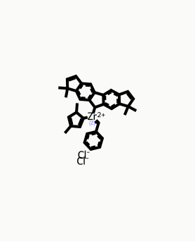 CC1=CC(C)[C](/[Zr+2](=[CH]\c2ccccc2)[CH]2c3cc4c(cc3-c3cc5c(cc32)C(C)(C)C=C5)C=CC4(C)C)=C1.[Cl-].[Cl-]